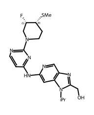 CS[C@@H]1CCN(c2nccc(Nc3cc4c(cn3)nc(CO)n4C(C)C)n2)C[C@@H]1F